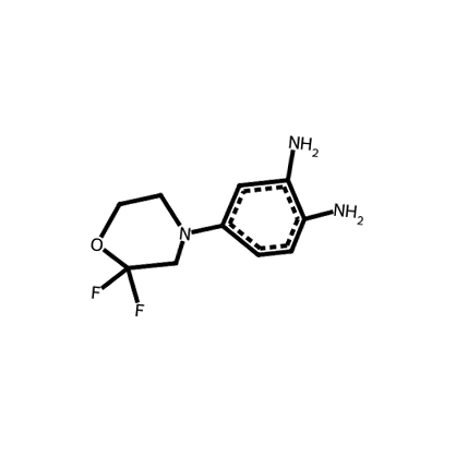 Nc1ccc(N2CCOC(F)(F)C2)cc1N